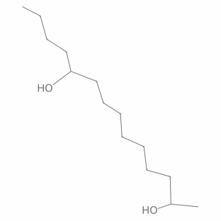 CCCCC(O)CCCCCCCC(C)O